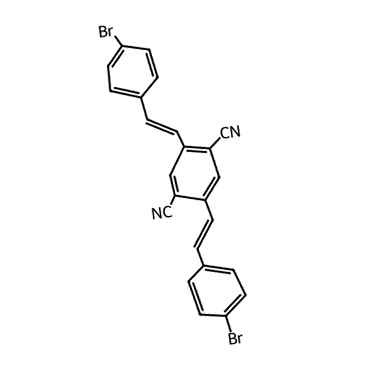 N#Cc1cc(C=Cc2ccc(Br)cc2)c(C#N)cc1C=Cc1ccc(Br)cc1